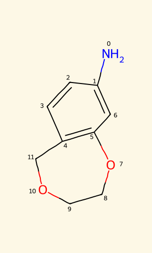 Nc1ccc2c(c1)OCCOC2